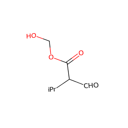 CC(C)C(C=O)C(=O)OCO